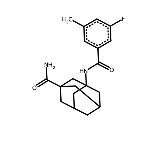 Cc1cc(F)cc(C(=O)NC23CC4CC(C2)CC(C(N)=O)(C4)C3)c1